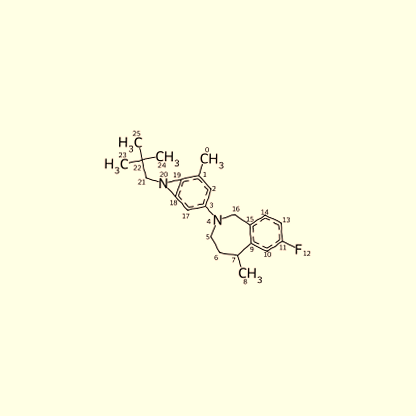 Cc1cc(N2CCC(C)c3cc(F)ccc3C2)cc2c1N2CC(C)(C)C